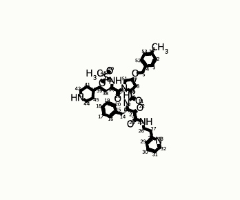 Cc1ccc(CO[C@@H]2C[C@@H](C(=O)N[C@@H](Cc3ccccc3)C(=O)C(=O)NCCc3ccccn3)N(C(=O)[C@@H](CCC3CCNCC3)NS(C)(=O)=O)C2)cc1